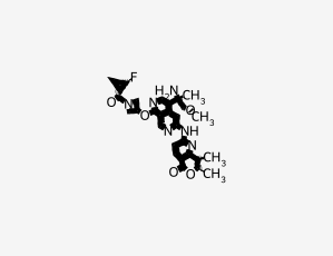 COC[C@@](C)(N)c1cnc(OC2CN(C(=O)[C@@H]3C[C@@H]3F)C2)c2cnc(Nc3ccc4c(n3)[C@@H](C)[C@H](C)OC4=O)cc12